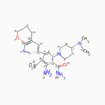 CN(C)C1CCN(c2cc(-c3cnc4c(c3)CCCO4)c([N+](=O)[O-])c(N)c2C(N)=O)CC1